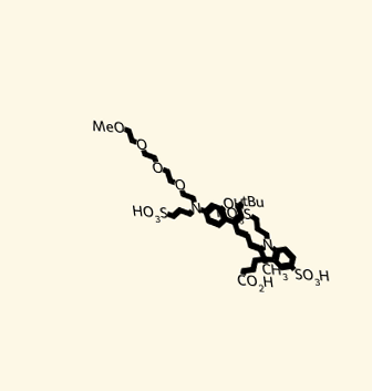 COCCOCCOCCOCCN(CCCS(=O)(=O)O)c1ccc(C(=C\CC(C)(C)C)/C=C/C=C2\N(CCCS(=O)(=O)O)c3ccc(S(=O)(=O)O)cc3C2(C)CCCC(=O)O)c(O)c1